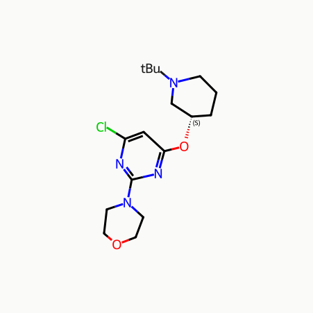 CC(C)(C)N1CCC[C@H](Oc2cc(Cl)nc(N3CCOCC3)n2)C1